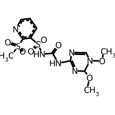 COC1N=C(NC(=O)NS(=O)(=O)c2cccnc2S(C)(=O)=O)N=CN1OC